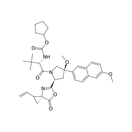 C=CC1C[C@@]12N=C([C@@H]1C[C@@](OC)(c3ccc4cc(OC)ccc4c3)CN1C(=O)[C@@H](NC(=O)OC1CCCC1)C(C)(C)C)OC2=O